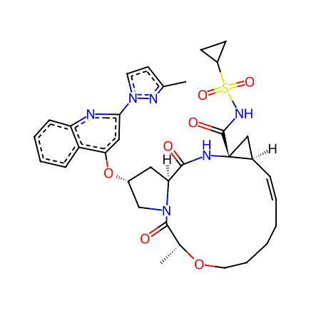 Cc1ccn(-c2cc(O[C@@H]3C[C@H]4C(=O)N[C@]5(C(=O)NS(=O)(=O)C6CC6)C[C@H]5/C=C\CCCCO[C@H](C)C(=O)N4C3)c3ccccc3n2)n1